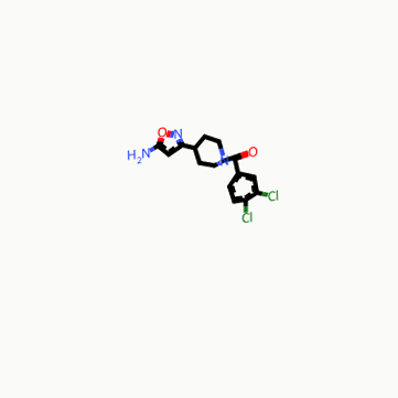 Nc1cc(C2CCN(C(=O)c3ccc(Cl)c(Cl)c3)CC2)no1